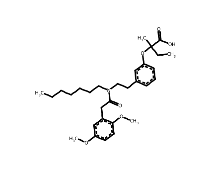 CCCCCCCN(CCc1cccc(OC(C)(CC)C(=O)O)c1)C(=O)Cc1cc(OC)ccc1OC